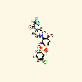 COc1ccc(S(=O)(=O)c2cccc(Cl)c2)cc1N1CCN(C(=O)C(F)(F)F)CC1